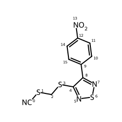 N#CSCSc1nsnc1-c1ccc([N+](=O)[O-])cc1